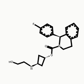 O=C(O[C@H]1C[C@H](NCCO)C1)N1CCc2ccccc2[C@@H]1c1ccc(F)cc1